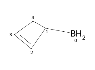 BC1C=CC1